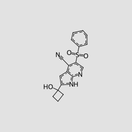 N#Cc1c(S(=O)(=O)c2ccccc2)cnc2[nH]c(C3(O)CCC3)cc12